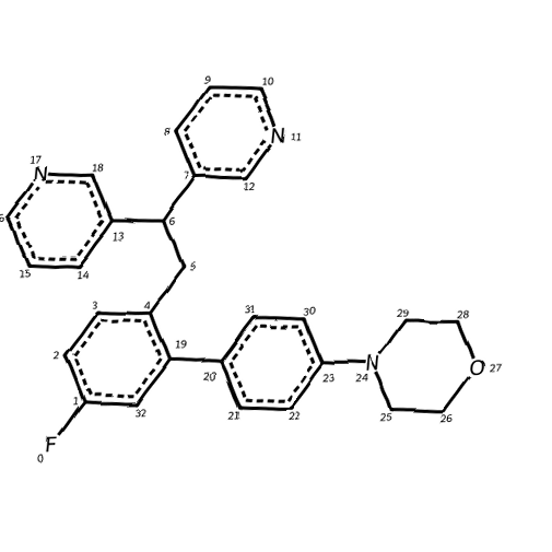 Fc1ccc(CC(c2cccnc2)c2cccnc2)c(-c2ccc(N3CCOCC3)cc2)c1